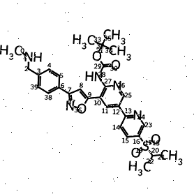 CNCc1ccc(-c2cc(-c3cc(-c4ccc(S(=O)(=O)C(C)C)cn4)cnc3NC(=O)OC(C)(C)C)on2)cc1